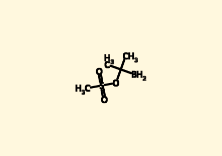 BC(C)(C)OS(C)(=O)=O